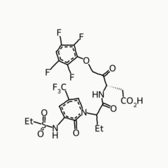 CCC(C(=O)N[C@@H](CC(=O)O)C(=O)COc1c(F)c(F)cc(F)c1F)n1cc(C(F)(F)F)cc(NS(=O)(=O)CC)c1=O